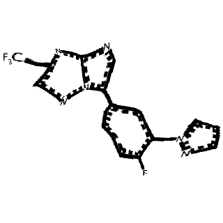 Fc1ccc(-c2cnc3nc(C(F)(F)F)cnn23)cc1-n1cccn1